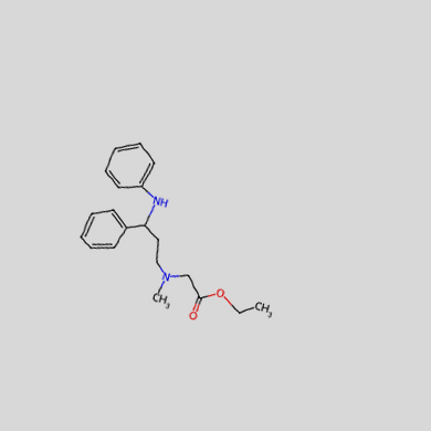 CCOC(=O)CN(C)CCC(Nc1ccccc1)c1ccccc1